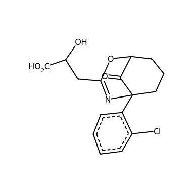 O=C(O)C(O)CC1=NC2(c3ccccc3Cl)CCCC(O1)C2=O